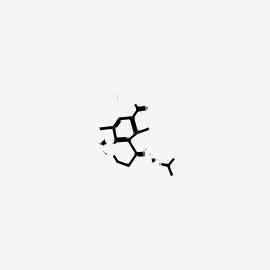 Cc1cc(C(=O)O)c(C)c2c1S(=O)(=O)CCC2=NOC(C)C